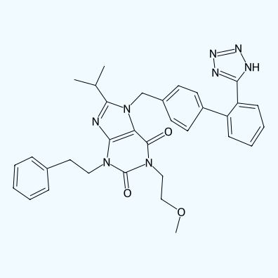 COCCn1c(=O)c2c(nc(C(C)C)n2Cc2ccc(-c3ccccc3-c3nnn[nH]3)cc2)n(CCc2ccccc2)c1=O